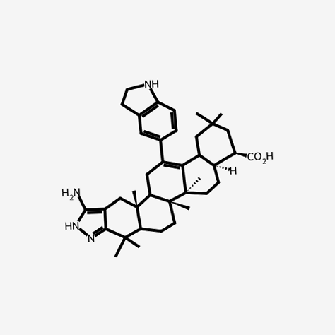 CC1(C)CC2C3=C(c4ccc5c(c4)CCN5)CC4[C@@]5(C)Cc6c(n[nH]c6N)C(C)(C)C5CC[C@@]4(C)[C@]3(C)CC[C@@H]2[C@H](C(=O)O)C1